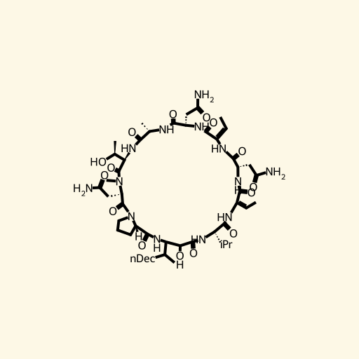 C/C=C1/NC(=O)[C@H](CC(N)=O)NC(=O)/C(=C\C)NC(=O)[C@H](C(C)C)NC(=O)C(O)C(C(C)CCCCCCCCCC)NC(=O)[C@@H]2CCCN2C(=O)[C@H](CC(N)=O)N(C)C(=O)[C@@H]([C@H](C)O)NC(=O)[C@H](C)NC(=O)[C@H](CC(N)=O)NC1=O